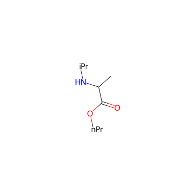 CCCOC(=O)C(C)NC(C)C